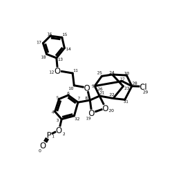 O=POc1cccc(C2(OCCOc3ccccc3)OOC23C2CC4CC3CC(Cl)(C4)C2)c1